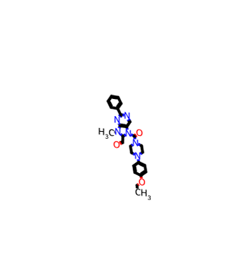 CCOc1ccc(N2CCN(C(=O)N3c4cnc(-c5ccccc5)nc4N(C)C3C=O)CC2)cc1